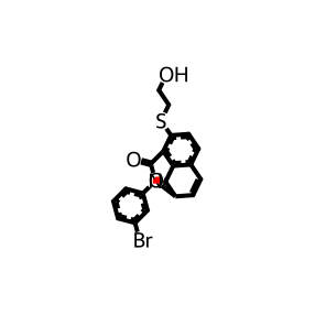 O=C1c2c3ccc(SCCO)c2C(=O)N(c2cccc(Br)c2)C1C=C3